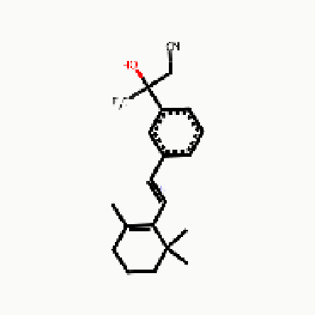 CC1=C(/C=C/c2cccc(C(O)(CC#N)C(F)(F)F)c2)C(C)(C)CCC1